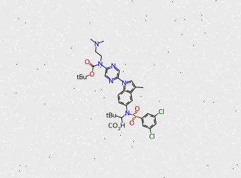 Cc1cn(-c2cnc(N(CCN(C)C)C(=O)OC(C)(C)C)cn2)c2ccc(N(C(C(=O)O)C(C)(C)C)S(=O)(=O)c3cc(Cl)cc(Cl)c3)cc12